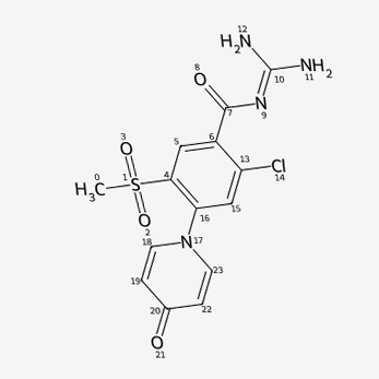 CS(=O)(=O)c1cc(C(=O)N=C(N)N)c(Cl)cc1-n1ccc(=O)cc1